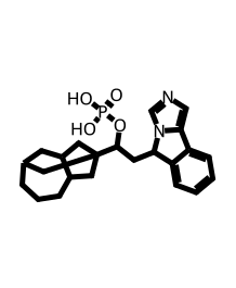 O=P(O)(O)OC(CC1c2ccccc2-c2cncn21)C12CC3CCCC(C1)C(C3)C2